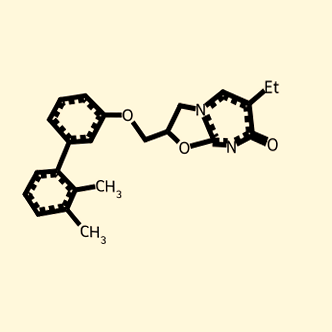 CCc1cn2c(nc1=O)OC(COc1cccc(-c3cccc(C)c3C)c1)C2